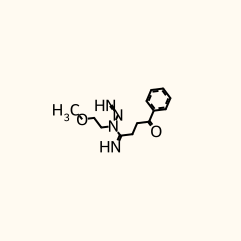 COCCN(N=N)C(=N)CCC(=O)c1ccccc1